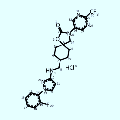 Cl.O=C1O[C@]2(CC[C@H](CNc3ccn(-c4ccccc4F)n3)CC2)CN1c1cnc(C(F)(F)F)nc1